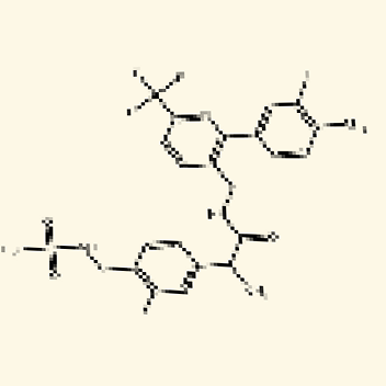 Cc1ccc(-c2nc(C(F)(F)F)ccc2CNC(=O)C(C)c2ccc(CNS(C)(=O)=O)c(F)c2)cc1F